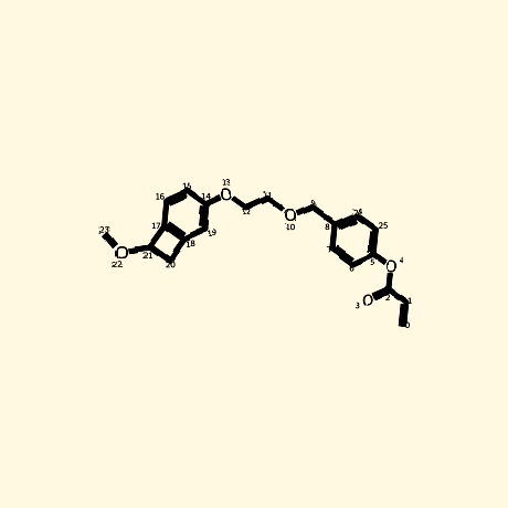 C=CC(=O)Oc1ccc(COCCOc2ccc3c(c2)CC3OC)cc1